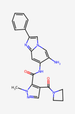 Cn1ncc(C(=O)N2CCC2)c1C(=O)Nc1cc2nc(-c3ccccc3)cn2cc1N